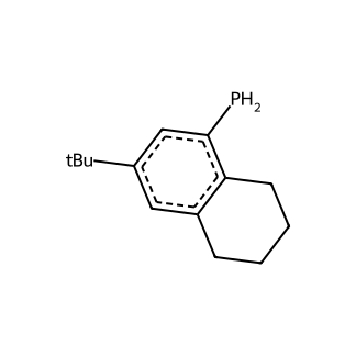 CC(C)(C)c1cc(P)c2c(c1)CCCC2